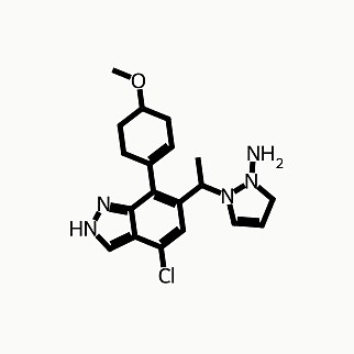 COC1CC=C(c2c(C(C)N3C=CCN3N)cc(Cl)c3c[nH]nc23)CC1